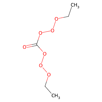 CCOOOC(=O)OOOCC